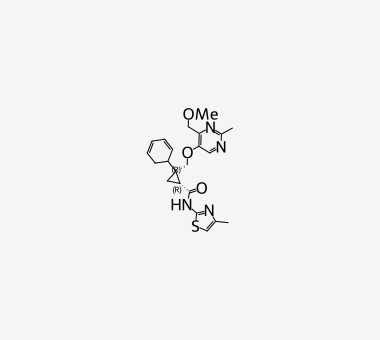 COCc1nc(C)ncc1OC[C@@]1(C2C=CC=CC2)C[C@H]1C(=O)Nc1nc(C)cs1